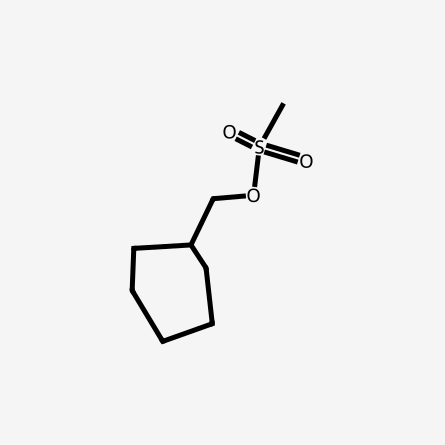 CS(=O)(=O)OCC1CCCCC1